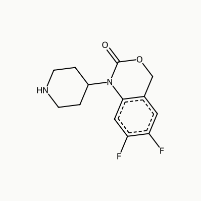 O=C1OCc2cc(F)c(F)cc2N1C1CCNCC1